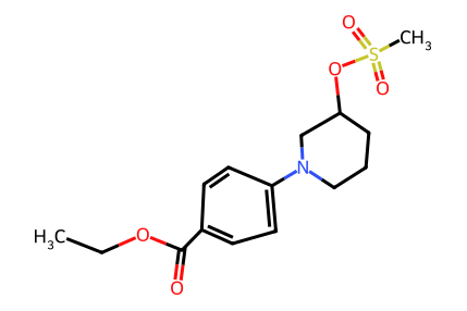 CCOC(=O)c1ccc(N2CCCC(OS(C)(=O)=O)C2)cc1